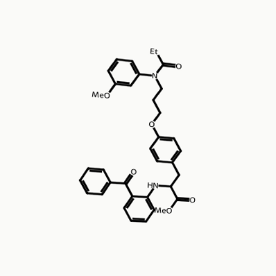 CCC(=O)N(CCCOc1ccc(CC(Nc2ccccc2C(=O)c2ccccc2)C(=O)OC)cc1)c1cccc(OC)c1